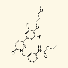 CCOC(=O)Nc1cccc(Cn2nc(-c3cc(F)c(OCCCOC)c(F)c3)ccc2=O)c1